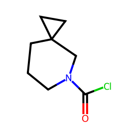 O=C(Cl)N1CCCC2(CC2)C1